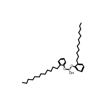 CCCCCCCCCCCCc1ccccc1OP(O)Oc1ccccc1CCCCCCCCCCCC